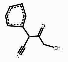 CCC(=O)C(C#N)c1ccccc1